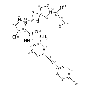 Cc1cc(C#Cc2ccc(F)cc2)cnc1NC(=O)c1c(Cl)cnn1[C@H]1C[C@]2(CCN(C(=O)C3CC3)C2)C1